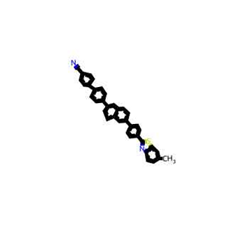 Cc1ccc2nc(-c3ccc(-c4ccc5cc(-c6ccc(-c7ccc(C#N)cc7)cc6)ccc5c4)cc3)sc2c1